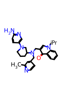 Cc1cc(CN(Cc2cn(C(C)C)c3ccccc3c2=O)C2CCCN(c3ccc(N)nc3)C2)ccn1